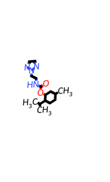 CC1CCC(C(C)C)C(OC(=O)NCCn2nccn2)C1